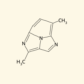 Cc1nc2ccc(C)c3ncc1n23